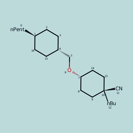 CCCCC[C@H]1CC[C@H](CO[C@H]2CC[C@@](C#N)(CCCC)CC2)CC1